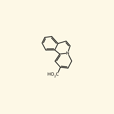 O=C(O)C1=CCN2C=Cc3ccccc3C2=C1